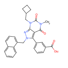 Cn1c(=O)c2c(-c3cccc(C(=O)O)c3)n(Cc3cccc4ccccc34)nc2n(CC2CCC2)c1=O